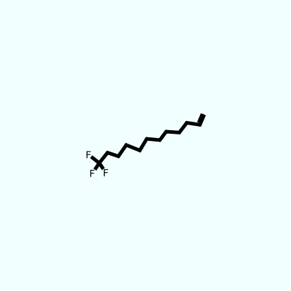 C=CCCCCCCCCCC(F)(F)F